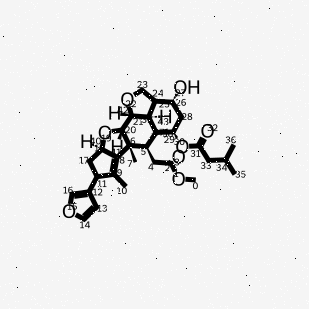 COC(=O)C[C@H]1[C@]2(C)C3=C(C)C(c4ccoc4)C[C@H]3O[C@@H]2[C@@H]2OC[C@]3(C)[C@H](O)C[C@H](OC(=O)CC(C)C)[C@@]1(C)[C@@H]23